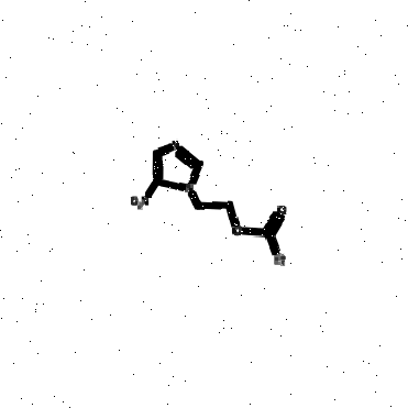 CCC(=O)OCCn1cncc1[N+](=O)[O-]